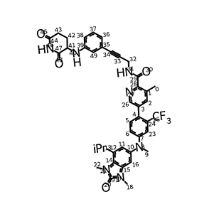 Cc1cc(-c2ccc(N(C)c3cc(C(C)C)c4c(c3)n(C)c(=O)n4C)cc2C(F)(F)F)cnc1C(=O)NCC#Cc1cccc(NC2CCC(=O)NC2=O)c1